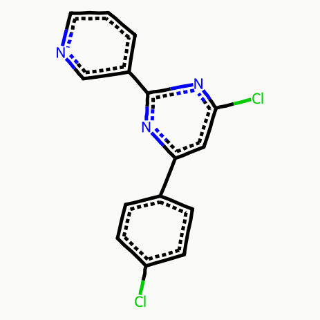 Clc1ccc(-c2cc(Cl)nc(-c3cccnc3)n2)cc1